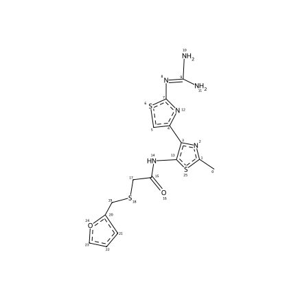 Cc1nc(-c2csc(N=C(N)N)n2)c(NC(=O)CSCc2ccco2)s1